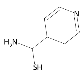 NC(S)C1C=CN=CC1